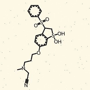 CN(CC#N)CCCOc1ccc2c(c1)S(O)(O)CC2S(=O)(=O)c1ccccc1